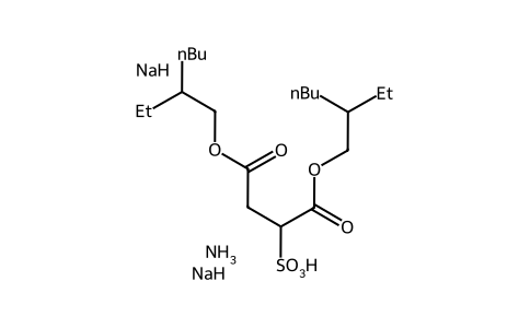 CCCCC(CC)COC(=O)CC(C(=O)OCC(CC)CCCC)S(=O)(=O)O.N.[NaH].[NaH]